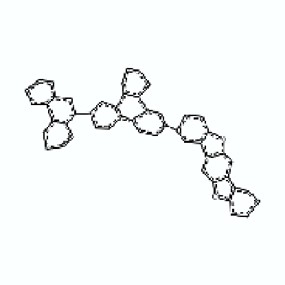 c1ccc2c(c1)cc(-c1ccc3c4ccc(-c5ccc6oc7cc8c(cc7c6c5)oc5ccccc58)cc4c4ccccc4c3c1)c1ccccc12